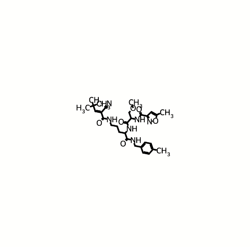 COCC(NC(=O)c1cc(C)on1)C(=O)NC(CCCNC(=O)C(C#N)=CC(C)(C)C)C(=O)NCc1ccc(C)cc1